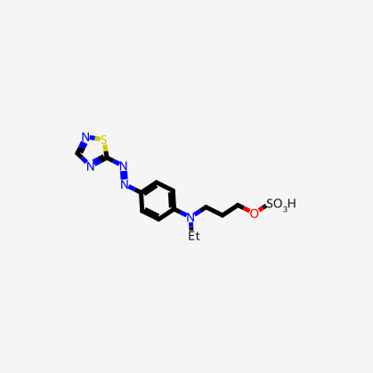 CCN(CCCOS(=O)(=O)O)c1ccc(N=Nc2ncns2)cc1